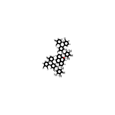 [2H]c1c([2H])c([2H])c(N(c2cc(-c3cccc(C)c3C)c(-c3cccc(C)c3C)cc2F)c2ccc3ccc4c(N(c5cc(-c6cccc(C)c6C)c(-c6cccc(C)c6C)cc5F)c5c([2H])c([2H])c([2H])c([2H])c5[2H])ccc5ccc2c3c54)c([2H])c1[2H]